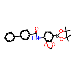 CC1(C)OB(c2ccc(NC(=O)c3ccc(-c4ccccc4)cc3)c3c2OCO3)OC1(C)C